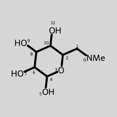 CNCC1OC(O)C(O)C(O)C1O